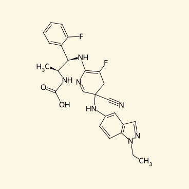 CCn1ncc2cc(NC3(C#N)C=NC(N[C@H](c4ccccc4F)[C@H](C)NC(=O)O)=C(F)C3)ccc21